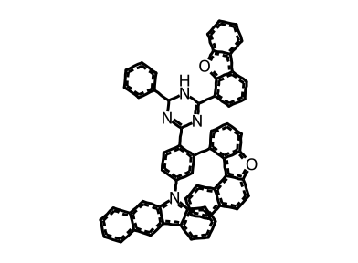 c1ccc(C2N=C(c3ccc(-n4c5ccccc5c5cc6ccccc6cc54)cc3-c3cccc4oc5ccc6ccccc6c5c34)N=C(c3cccc4c3oc3ccccc34)N2)cc1